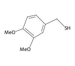 COc1ccc(CS)cc1OC